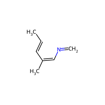 C=N/C=C(C)\C=C\C